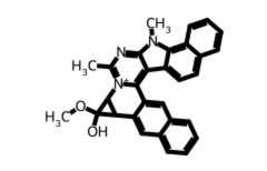 COC1(O)C2c3cc4ccccc4cc3-c3c4c5ccc6ccccc6c5n(C)c4nc(C)[n+]3C21